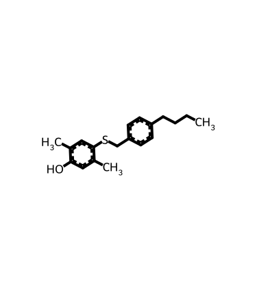 CCCCc1ccc(CSc2cc(C)c(O)cc2C)cc1